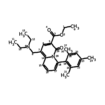 CCOC(=O)c1cc(CN(CC)CC)c2cccc(-c3c(C)cc(C)cc3C)n2c1=O